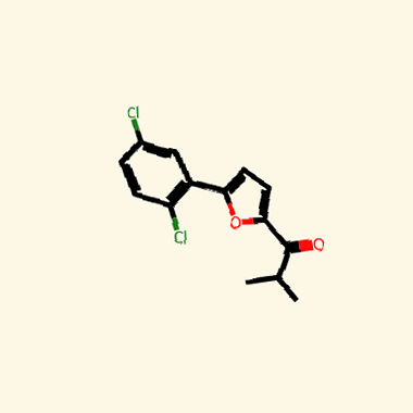 CC(C)C(=O)c1ccc(-c2cc(Cl)ccc2Cl)o1